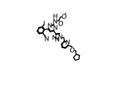 COCC(=O)Nc1nc(-c2cn(Cc3cccc(COCC4CCCC4)n3)nn2)cc(-c2c(I)cccc2C#N)n1